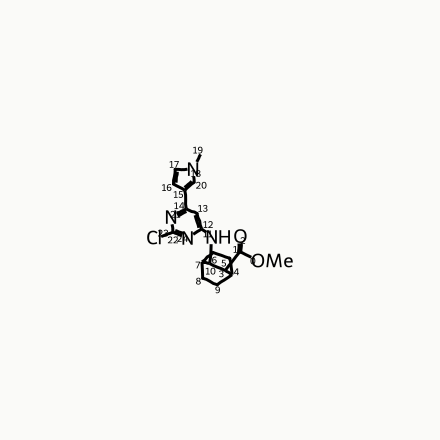 COC(=O)C1C2CCC(CC2)C1Nc1cc(-c2ccn(C)c2)nc(Cl)n1